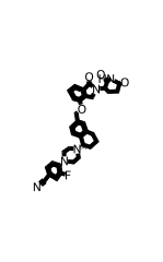 N#Cc1ccc(N2CCN([C@H]3CCCc4cc(COc5cccc6c5CN(C5CCC(=O)NC5=O)C6=O)ccc43)CC2)c(F)c1